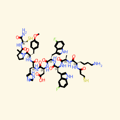 COc1ccc(C[C@H](NC(=O)[C@H](Cc2cnc[nH]2)NC(=O)[C@H](CC(=O)O)NC(=O)[C@H](Cc2c[nH]c3ccc(F)cc23)NC(=O)[C@H](Cc2c[nH]c3ccc(F)cc23)NC(=O)[C@@H](C)NC(=O)[C@H](CCCCN)NC(=O)CCS)C(=O)N2CCCC2(C)C(=O)N[C@@H](CS)C(N)=O)cc1